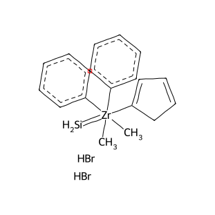 Br.Br.[CH3][Zr]([CH3])(=[SiH2])([C]1=CC=CC1)([c]1ccccc1)[c]1ccccc1